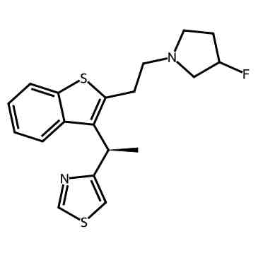 C[C@@H](c1cscn1)c1c(CCN2CCC(F)C2)sc2ccccc12